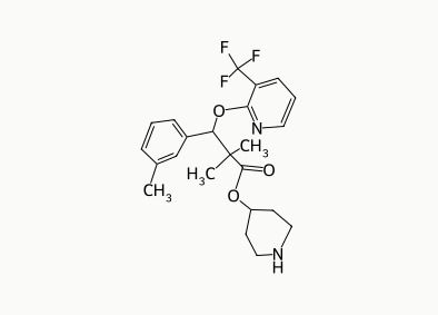 Cc1cccc(C(Oc2ncccc2C(F)(F)F)C(C)(C)C(=O)OC2CCNCC2)c1